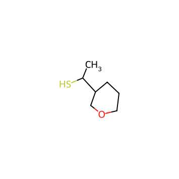 CC(S)C1CCCOC1